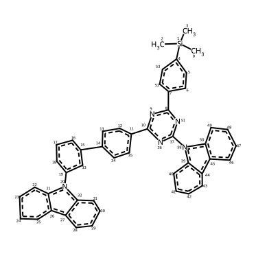 C[Si](C)(C)c1ccc(-c2nc(-c3ccc(-c4cccc(-n5c6ccccc6c6ccccc65)c4)cc3)nc(-n3c4ccccc4c4ccccc43)n2)cc1